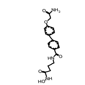 NC(=O)COc1ccc(-c2ccc(C(=O)NCCCC(=O)NO)cc2)cc1